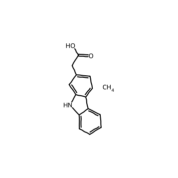 C.O=C(O)Cc1ccc2c(c1)[nH]c1ccccc12